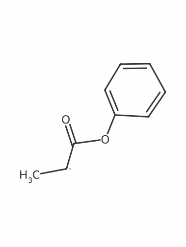 C[CH]C(=O)Oc1ccccc1